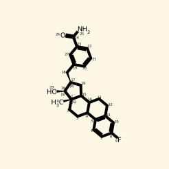 C[C@]12CCC3c4ccc(F)cc4CCC3C1C[C@H](Cc1cccc(C(N)=O)c1)[C@@H]2O